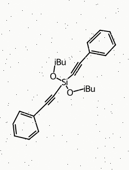 CCC(C)O[Si](C#Cc1ccccc1)(C#Cc1ccccc1)OC(C)CC